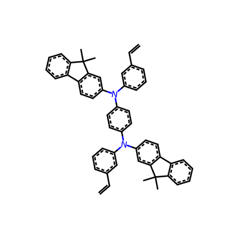 C=Cc1cccc(N(c2ccc(N(c3cccc(C=C)c3)c3ccc4c(c3)C(C)(C)c3ccccc3-4)cc2)c2ccc3c(c2)C(C)(C)c2ccccc2-3)c1